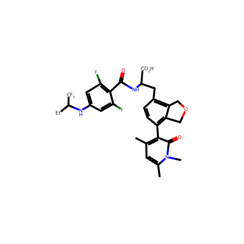 CCC(Nc1cc(F)c(C(=O)NC(Cc2ccc(-c3c(C)cc(C)n(C)c3=O)c3c2COC3)C(=O)O)c(F)c1)C(F)(F)F